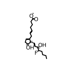 CCCCC(F)[C@H](O)C=C[C@@H]1C(CC=CCCCC(=O)OC)=CC[C@H]1O